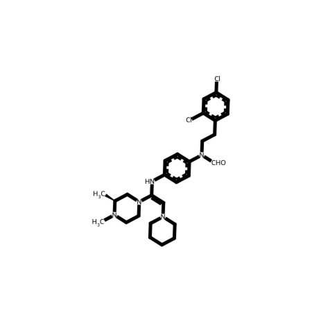 C[C@H]1CN(/C(=C\N2CCCCC2)Nc2ccc(N(C=O)CCc3ccc(Cl)cc3Cl)cc2)CCN1C